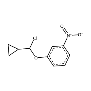 O=[N+]([O-])c1cccc(OC(Cl)C2CC2)c1